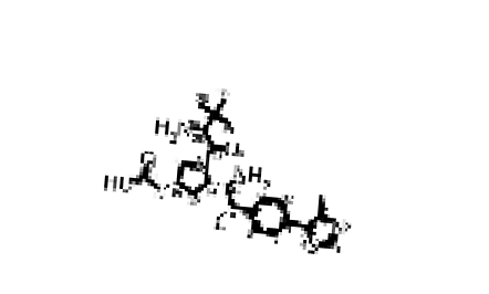 Cc1ncsc1-c1ccc([C@H](C)C(N)[C@@H]2C[C@H](CC(=O)O)CN2C(=O)[C@@H](N)C(C)(C)C)cc1